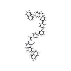 C=C=c1/c(=C\C=C(/C)c2ccc(-c3cccc(-c4ccc(-c5ccc6ccc7ccc(-c8cccc9ccccc89)cc7c6n5)cc4)c3)cc2)ccc2ccc(-c3cccc4ccccc34)cc12